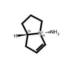 N[N@+]12C=CC[C@@H]1CCC2